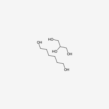 OCC(O)CO.OCCCCCCO